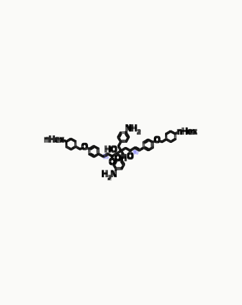 CCCCCCC1CCC(COc2ccc(/C=C/C(=O)CC(Cc3ccc(N)cc3)(Cc3ccc(N)cc3)C(O)(O)C(=O)/C=C/c3ccc(OCC4CCC(CCCCCC)CC4)cc3)cc2)CC1